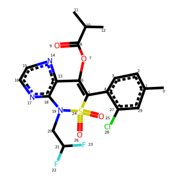 Cc1ccc(C2=C(OC(=O)C(C)C)c3nccnc3N(CC(F)F)S2(=O)=O)c(Cl)c1